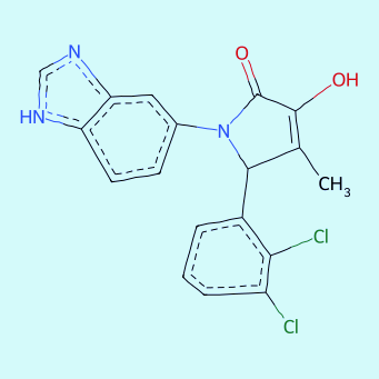 CC1=C(O)C(=O)N(c2ccc3[nH]cnc3c2)C1c1cccc(Cl)c1Cl